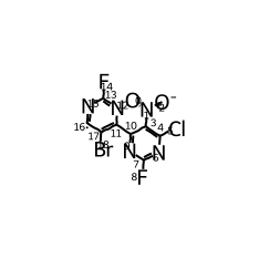 O=[N+]([O-])c1c(Cl)nc(F)nc1-c1nc(F)n[c]c1Br